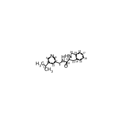 CC(C)c1cncc(CNC(=O)C2Cc3ccccc3CN2)c1